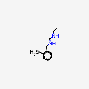 CCNCNCc1ccccc1[SiH3]